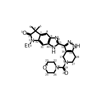 CCN1C(=O)C(C)(C)c2cc3nc(-c4n[nH]c5c4CN(C(=O)N4CCOCC4)CC5)[nH]c3cc21